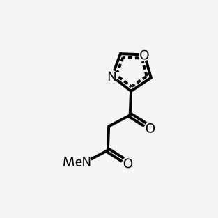 CNC(=O)CC(=O)c1cocn1